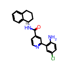 Nc1ccc(Cl)cc1-c1cc(C(=O)N[C@H]2CCCc3ccccc32)ccn1